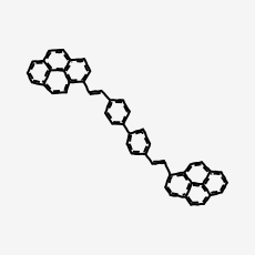 C(=C\c1ccc2ccc3cccc4ccc1c2c34)/c1ccc(-c2ccc(/C=C/c3ccc4ccc5cccc6ccc3c4c56)cc2)cc1